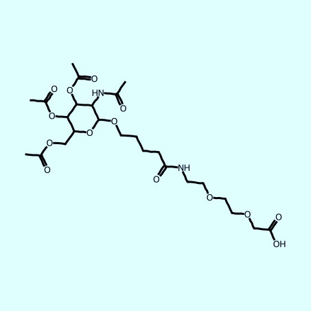 CC(=O)NC1C(OCCCCC(=O)NCCOCCOCC(=O)O)OC(COC(C)=O)C(OC(C)=O)C1OC(C)=O